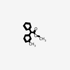 CCOC(=O)C(c1ccccc1)c1cccc(C)c1